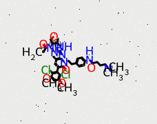 C=CC(=O)N[C@H]1COC[C@H]1Nc1ncc2cc(-c3c(Cl)c(OC)cc(OC)c3Cl)c(=O)n(CCc3ccc(NC(=O)CCCN(C)C)cc3)c2n1